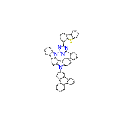 c1ccc(-c2nc(-c3cccc4c3sc3ccccc34)nc(-n3c4ccccc4c4ccc5c(c6ccccc6n5-c5ccc6c7ccccc7c7ccccc7c6c5)c43)n2)cc1